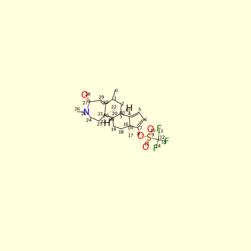 CC1C[C@H]2C3=CC=C(OS(=O)(=O)C(F)(F)F)[C@@]3(C)CC[C@@H]2[C@@]2(C)CCN(C)C(=O)C=C12